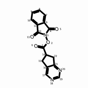 O=C(ON1C(=O)c2ccccc2C1=O)C1Cc2cncnc2C1